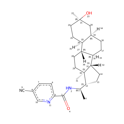 C[C@@H](NC(=O)c1ccc(C#N)cn1)[C@H]1CC[C@H]2[C@@H]3CC[C@@H]4C[C@](C)(O)CC[C@@H]4[C@H]3CC[C@]12C